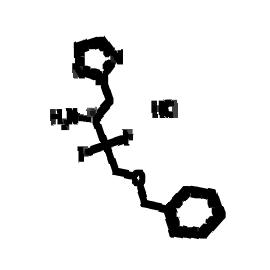 Cl.N[C@H](Cn1nccn1)C(F)(F)COCc1ccccc1